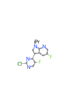 CC(C)n1cc(-c2nc(Cl)ncc2F)c2cc(F)cnc21